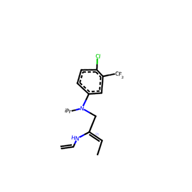 C=CN/C(=C\C)CN(c1ccc(Cl)c(C(F)(F)F)c1)C(C)C